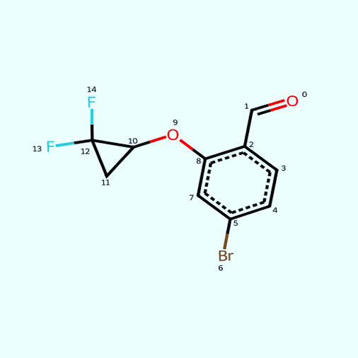 O=Cc1ccc(Br)cc1OC1CC1(F)F